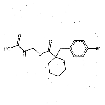 O=C(O)NCOC(=O)C1(Cc2ccc(Br)cc2)CCCCC1